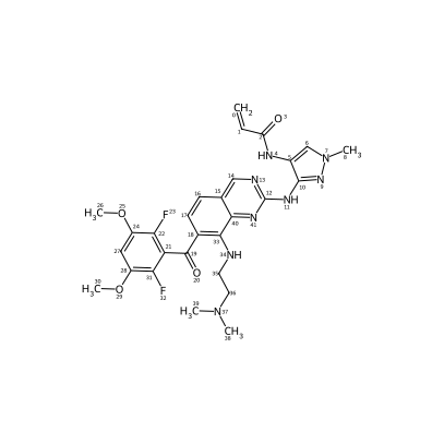 C=CC(=O)Nc1cn(C)nc1Nc1ncc2ccc(C(=O)c3c(F)c(OC)cc(OC)c3F)c(NCCN(C)C)c2n1